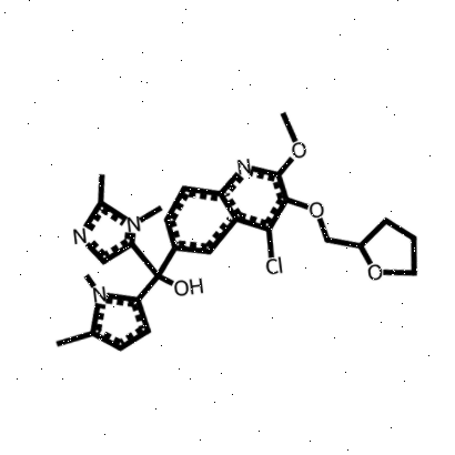 COc1nc2ccc(C(O)(c3ccc(C)n3C)c3cnc(C)n3C)cc2c(Cl)c1OCC1CCCO1